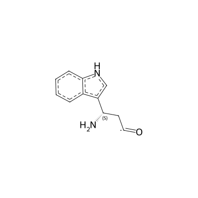 N[C@@H](C[C]=O)c1c[nH]c2ccccc12